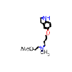 COCCN(C)CCCCOc1ccc2c(c1)CCN2